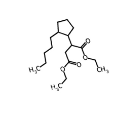 CCCCCC1CCCC1C(CC(=O)OCC)C(=O)OCC